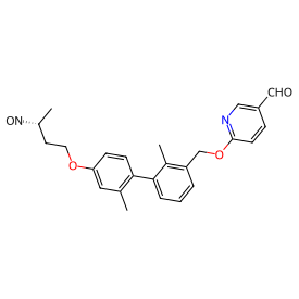 Cc1cc(OCC[C@@H](C)N=O)ccc1-c1cccc(COc2ccc(C=O)cn2)c1C